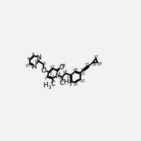 Cc1cc(OCc2ncccn2)cc(=O)n1C(C)Cc1cccc(C#CC2CC2)c1